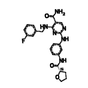 NC(=O)c1cnc(Nc2cccc(NC(=O)[C@@H]3CCCO3)c2)nc1NCc1cccc(F)c1